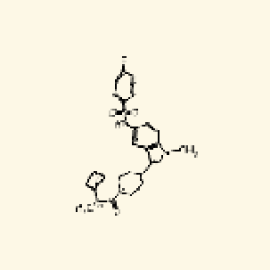 C[C@@H](C(=O)N1CCC(c2cn(C)c3ccc(NS(=O)(=O)c4ccc(F)cc4)cc23)CC1)C12CC(C1)C2